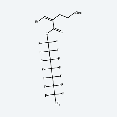 CCC=C(CCCCCCCCCCCC)C(=O)OC(F)(F)C(F)(F)C(F)(F)C(F)(F)C(F)(F)C(F)(F)C(F)(F)C(F)(F)F